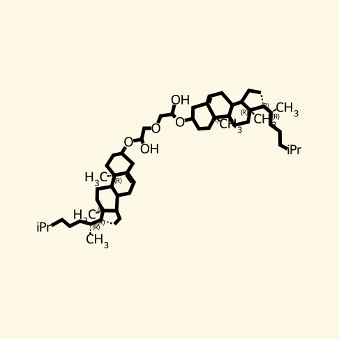 CC(C)CCC[C@@H](C)[C@H]1CCC2C3CC=C4CC(OC(O)COCC(O)OC5CC[C@@]6(C)C(=CCC7C6CC[C@@]6(C)C7CC[C@@H]6[C@H](C)CCCC(C)C)C5)CC[C@]4(C)C3CC[C@@]21C